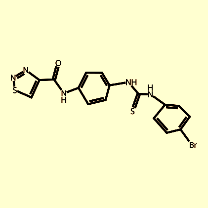 O=C(Nc1ccc(NC(=S)Nc2ccc(Br)cc2)cc1)c1csnn1